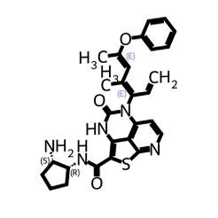 C=C/C(=C(C)\C=C(/C)Oc1ccccc1)N1C(=O)Nc2c(C(=O)N[C@@H]3CCC[C@@H]3N)sc3nccc1c23